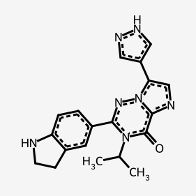 CC(C)n1c(-c2ccc3c(c2)CCN3)nn2c(-c3cn[nH]c3)cnc2c1=O